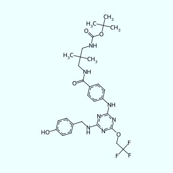 CC(C)(CNC(=O)OC(C)(C)C)CNC(=O)c1ccc(Nc2nc(NCc3ccc(O)cc3)nc(OCC(F)(F)F)n2)cc1